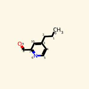 CCCc1ccnc([C]=O)c1